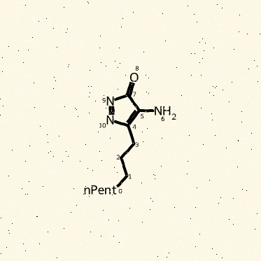 CCCCCCCCC1=C(N)C(=O)N=N1